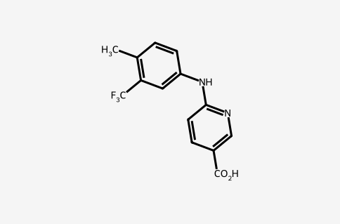 Cc1ccc(Nc2ccc(C(=O)O)cn2)cc1C(F)(F)F